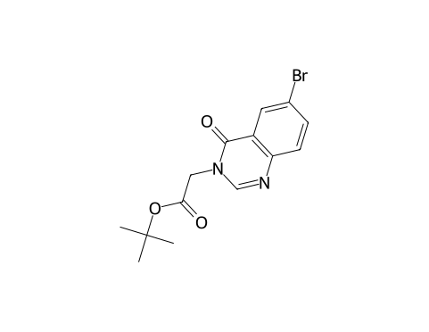 CC(C)(C)OC(=O)Cn1cnc2ccc(Br)cc2c1=O